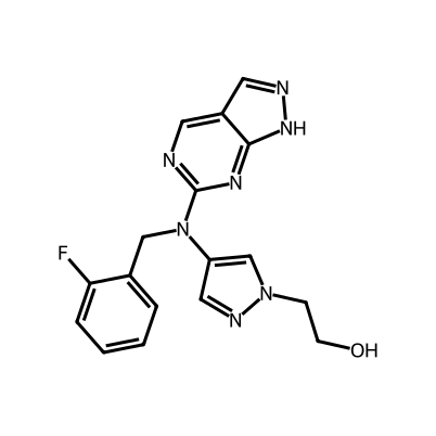 OCCn1cc(N(Cc2ccccc2F)c2ncc3cn[nH]c3n2)cn1